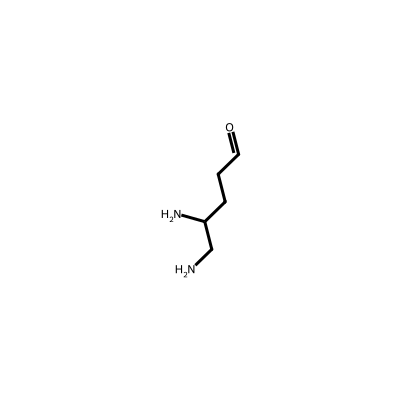 NCC(N)CCC=O